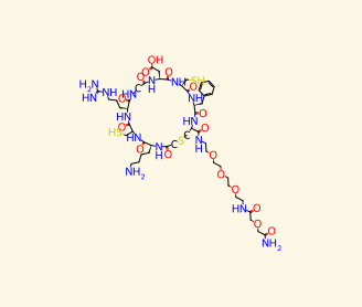 N=C(N)NCCC[C@@H]1NC(=O)C(CS)NC(=O)[C@H](CCCCN)NC(=O)CSCC(C(=O)NCCOCCOCCOCCNC(=O)COCC(N)=O)NC(=O)[C@H](Cc2ccccc2)NC(=O)[C@H](CS)NC(=O)[C@H](CC(=O)O)NC(=O)CNC1=O